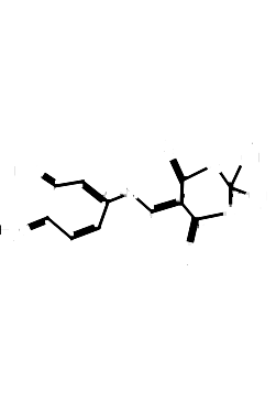 C=C/C=C\C(=C/C=C)NC=C1C(=O)OC(C)(C)OC1=O